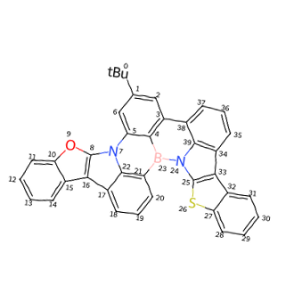 CC(C)(C)c1cc2c3c(c1)-n1c4oc5ccccc5c4c4cccc(c41)B3n1c3sc4ccccc4c3c3cccc-2c31